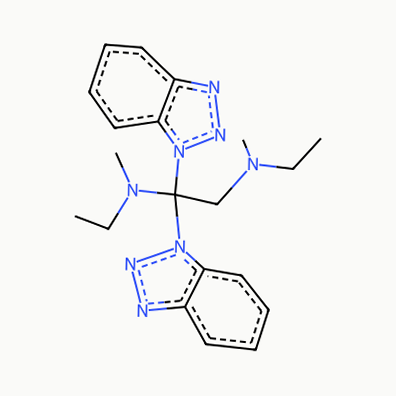 CCN(C)CC(N(C)CC)(n1nnc2ccccc21)n1nnc2ccccc21